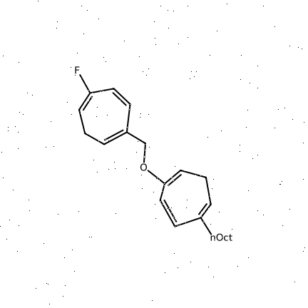 CCCCCCCCC1=CCC=C(OCC2=CCC=C(F)C=C2)C=C1